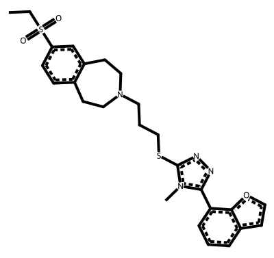 CCS(=O)(=O)c1ccc2c(c1)CCN(CCCSc1nnc(-c3cccc4ccoc34)n1C)CC2